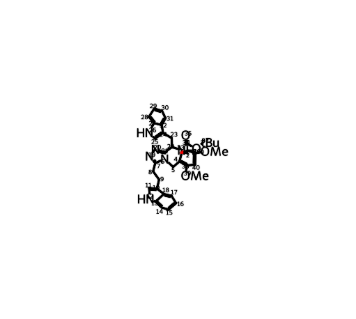 COc1ccc(Cn2c(CCc3c[nH]c4ccccc34)nnc2C(Cc2c[nH]c3ccccc23)NC(=O)OC(C)(C)C)c(OC)c1